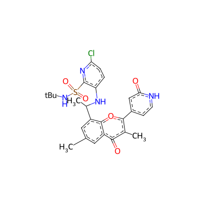 Cc1cc(C(C)Nc2ccc(Cl)nc2S(=O)(=O)NC(C)(C)C)c2oc(-c3cc[nH]c(=O)c3)c(C)c(=O)c2c1